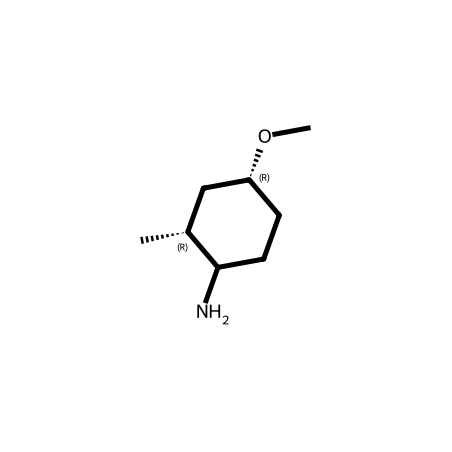 CO[C@@H]1CCC(N)[C@H](C)C1